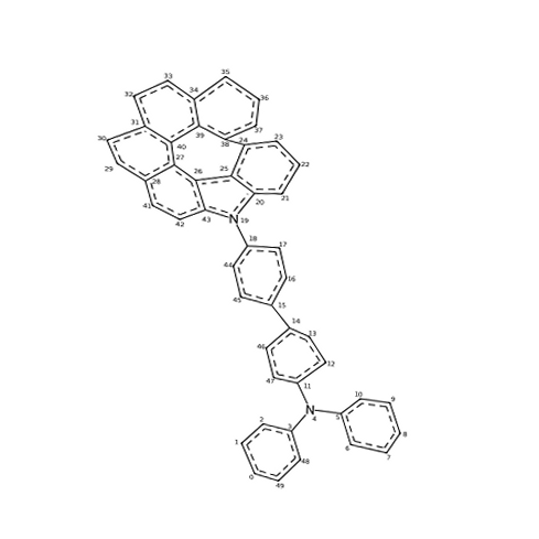 c1ccc(N(c2ccccc2)c2ccc(-c3ccc(-n4c5cccc6c5c5c7c(ccc8ccc9cccc-6c9c87)ccc54)cc3)cc2)cc1